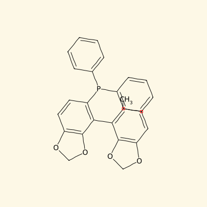 Cc1ccc2c(c1-c1c(P(c3ccccc3)c3ccccc3)ccc3c1OCO3)OCO2